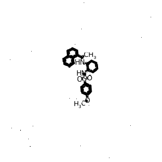 COc1ccc(S(=O)(=O)N[C@@H]2CCCC[C@H]2NC(C)c2cccc3ccccc23)cc1